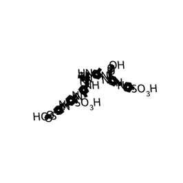 Cc1nc(Nc2ccc(N=Nc3ccc(N=Nc4ccc(S(=O)(=O)O)cc4)cc3SOOO)c(C)c2)nc(Nc2ccc(N=Nc3ccc(N=Nc4ccc(SOOO)cc4)cc3S(=O)(=O)O)c(C)c2)n1